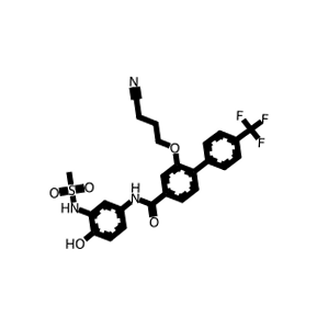 CS(=O)(=O)Nc1cc(NC(=O)c2ccc(-c3ccc(C(F)(F)F)cc3)c(OCCCC#N)c2)ccc1O